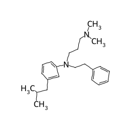 CC(C)Cc1cccc(N(CCCN(C)C)CCc2ccccc2)c1